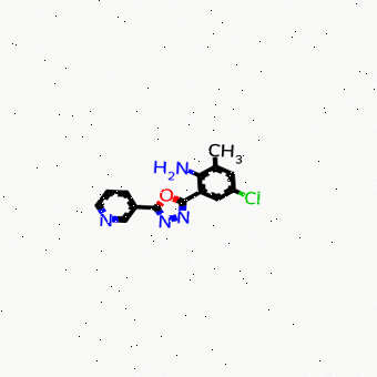 Cc1cc(Cl)cc(-c2nnc(-c3cccnc3)o2)c1N